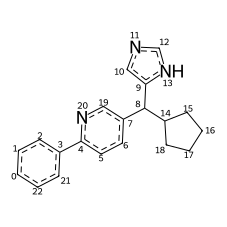 c1ccc(-c2ccc(C(c3cnc[nH]3)C3CCCC3)cn2)cc1